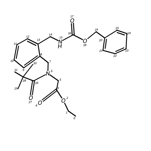 CCOC(=O)CN(Cc1ccccc1CNC(=O)OCc1ccccc1)C(=O)C(C)(C)C